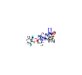 Cc1nc2c(OCc3c(F)cccc3F)cccn2c1-c1nc(C#N)c2c(n1)NC(=O)C2(C)C